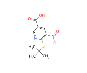 CC(C)(C)Sc1ncc(C(=O)O)cc1[N+](=O)[O-]